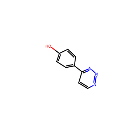 Oc1ccc(-c2ccnnn2)cc1